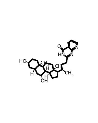 C[C@H](CCc1nc2ncccc2c(=O)[nH]1)[C@H]1CC[C@H]2[C@H]3C(CC[C@]12C)[C@@]1(C)CC[C@@H](O)C[C@H]1C[C@H]3O